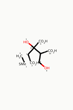 CSC.O=C(O)CC(O)(C(=O)O)C(CO)C(=O)O